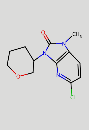 Cn1c(=O)n(C2CCCOC2)c2nc(Cl)ccc21